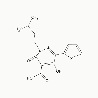 CC(C)CCn1nc(-c2cccs2)c(O)c(C(=O)O)c1=O